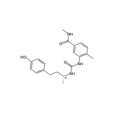 CNC(=O)c1ccc(C)c(NC(=O)N[C@H](C)CCc2ccc(O)cc2)c1